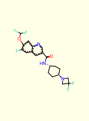 O=C(N[C@H]1CC[C@H](N2CC(F)(F)C2)CC1)c1cnc2cc(OC(F)F)c(F)cc2c1